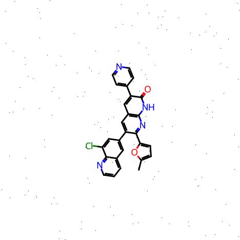 Cc1ccc(-c2nc3[nH]c(=O)c(-c4ccncc4)cc3cc2-c2cc(Cl)c3ncccc3c2)o1